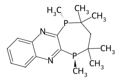 C[P@@]1c2nc3ccccc3nc2[P@](C)C(C)(C)CC1(C)C